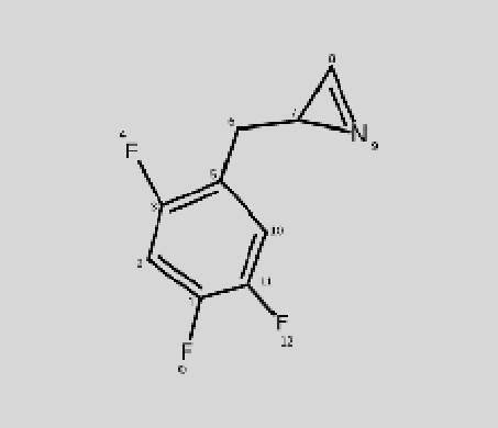 Fc1cc(F)c(CC2C=N2)cc1F